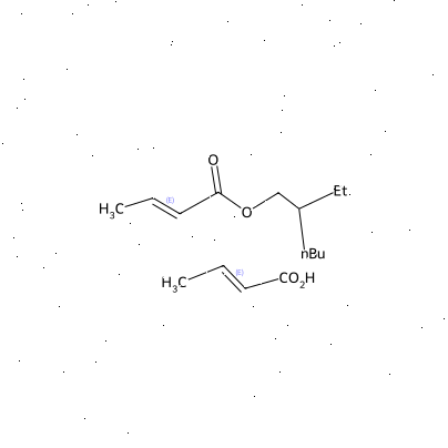 C/C=C/C(=O)O.C/C=C/C(=O)OCC(CC)CCCC